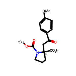 COc1ccc(C(=O)C[C@]2(C(=O)O)CCCN2C(=O)OC(C)(C)C)cc1